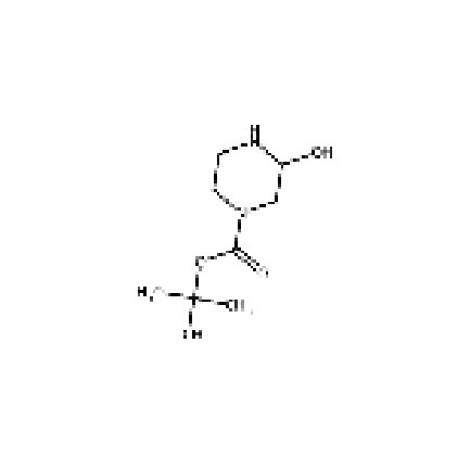 CC(C)(C)OC(=O)N1CCNC(O)C1